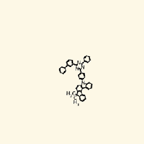 CC1(C)c2ccccc2-c2c1ccc1c2c2ccccc2n1-c1ccc(-c2nc(-c3ccccc3)nc(-c3cccc(-c4ccccc4)c3)n2)cc1